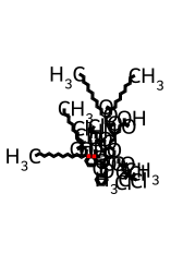 CCCCCCCCCCC[C@H](CC(=O)NC(CCC(=O)O)CO[C@H]1O[C@H](COC(=O)OC(C)(C)C(Cl)(Cl)Cl)[C@@H](OP(=O)(Oc2ccccc2)Oc2ccccc2)[C@H](OC(=O)C[C@@H](CCCCCCCCCCC)OC(=O)CCCCCCCCC)[C@H]1NC(=O)OCC(Cl)(Cl)Cl)OC(=O)CCCCCCCCC